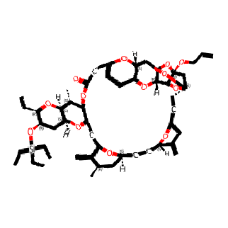 C=CCO[C@]12C[C@]34CCC5CC(=C)[C@H](CC[C@H]6C[C@@H](C)C(=C)C(CC7O[C@H]8C[C@@H](O[Si](CC)(CC)CC)[C@@H](CC)O[C@H]8[C@H](C)C7OC(=O)CC7CCC8O[C@H](C(O1)C(O3)[C@H]8O7)C2O4)O6)O5